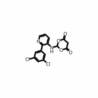 O=C1CC(=O)OC(Nc2cccnc2-c2cc(Cl)cc(Cl)c2)O1